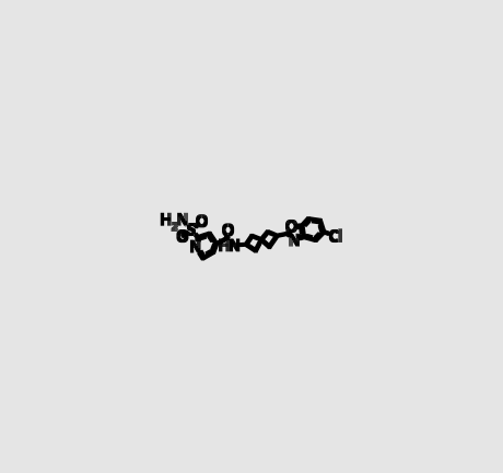 NS(=O)(=O)c1cc(C(=O)NC2CC3(C2)CC(c2nc4cc(Cl)ccc4o2)C3)ccn1